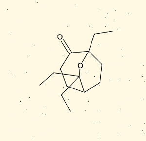 CCC12CCC(CCC1=O)C(CC)(CC)O2